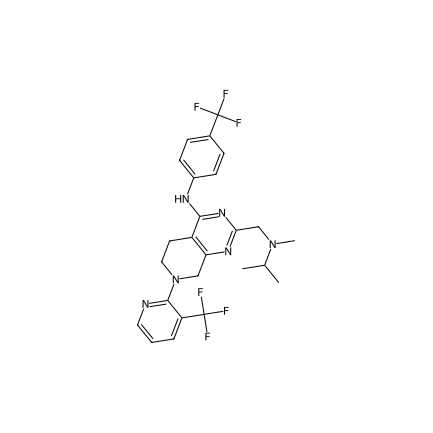 CC(C)N(C)Cc1nc2c(c(Nc3ccc(C(F)(F)F)cc3)n1)CCN(c1ncccc1C(F)(F)F)C2